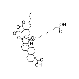 CCC/C=C/C(CCC(CCCCCCCCC(=O)O)C1C(C(C)C)C2CC3C4(C)CCCC(C)(C(=O)O)C4CCC13[C@@H]1C(=O)OC(=O)C21)C1CC(=O)OC1=O